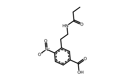 CCC(=O)NCCc1cc(C(=O)O)ccc1[N+](=O)[O-]